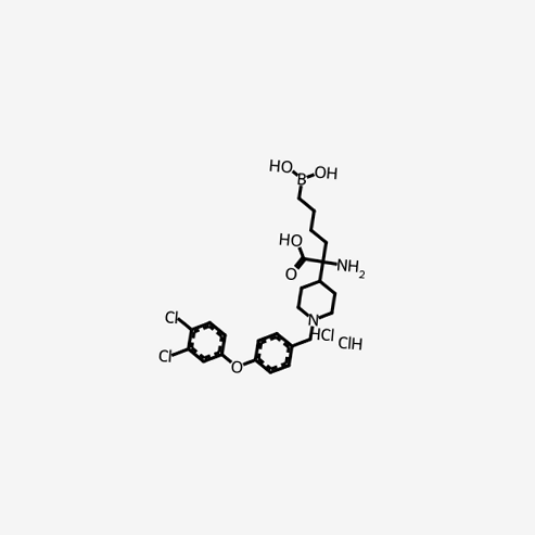 Cl.Cl.NC(CCCCB(O)O)(C(=O)O)C1CCN(Cc2ccc(Oc3ccc(Cl)c(Cl)c3)cc2)CC1